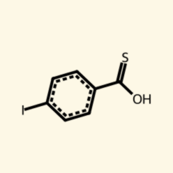 OC(=S)c1ccc(I)cc1